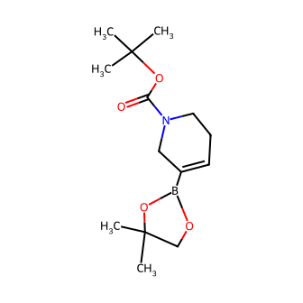 CC(C)(C)OC(=O)N1CCC=C(B2OCC(C)(C)O2)C1